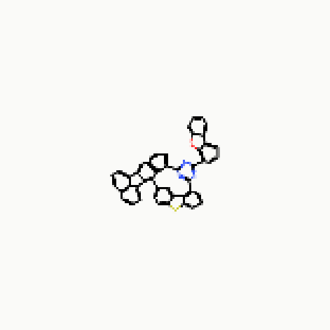 c1ccc(-c2nc(-c3cccc4c3oc3ccccc34)nc(-c3cccc4sc5ccc(-c6cccc7c6-c6cccc8cccc-7c68)cc5c34)n2)cc1